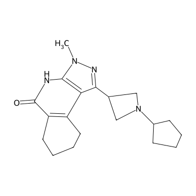 Cn1nc(C2CN(C3CCCC3)C2)c2c3c(c(=O)[nH]c21)CCCC3